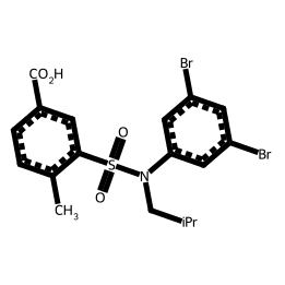 Cc1ccc(C(=O)O)cc1S(=O)(=O)N(CC(C)C)c1cc(Br)cc(Br)c1